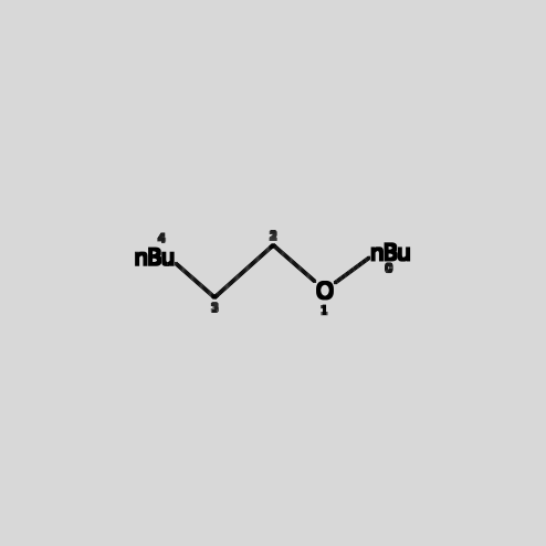 [CH2]CCCOCCCCCC